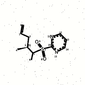 C=CC[C@H](C)C(C)S(=O)(=O)c1ncccn1